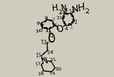 Nc1ccc(Oc2ccccc2OCCCN2CCCCC2)cc1N